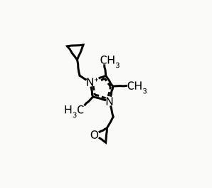 Cc1c(C)[n+](CC2CC2)c(C)n1CC1CO1